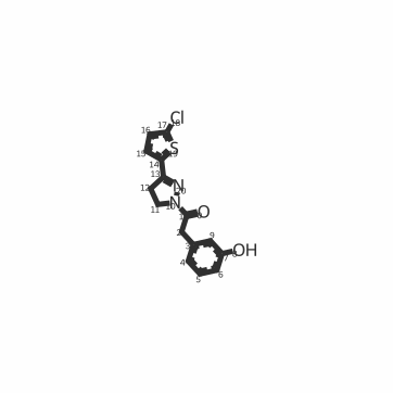 O=C(Cc1cccc(O)c1)N1CCC(c2ccc(Cl)s2)=N1